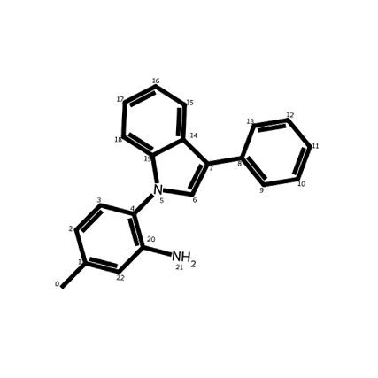 Cc1ccc(-n2cc(-c3ccccc3)c3ccccc32)c(N)c1